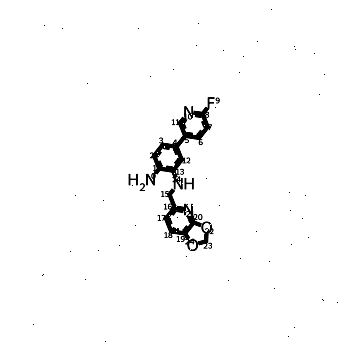 Nc1ccc(-c2ccc(F)nc2)cc1NCc1ccc2c(n1)OCO2